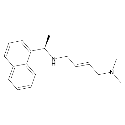 C[C@@H](NC/C=C/CN(C)C)c1cccc2ccccc12